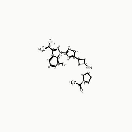 CC(=O)N1CC[C@@H](NC2CC(c3nc(-n4nc(C(C)C)c5cccc(F)c54)no3)C2)C1